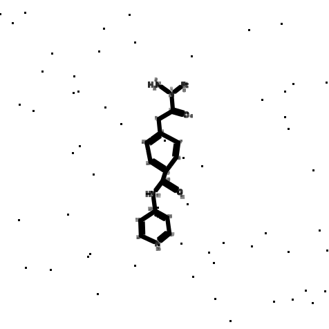 CCN(N)C(=O)Cc1ccc(C(=O)Nc2ccncc2)cc1